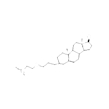 CN(C)CCOCCCC1CC[C@@]2(C)C(CCC3C2CC[C@]2(C)C(=O)CCC32)C1